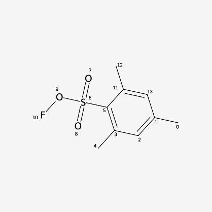 Cc1cc(C)c(S(=O)(=O)OF)c(C)c1